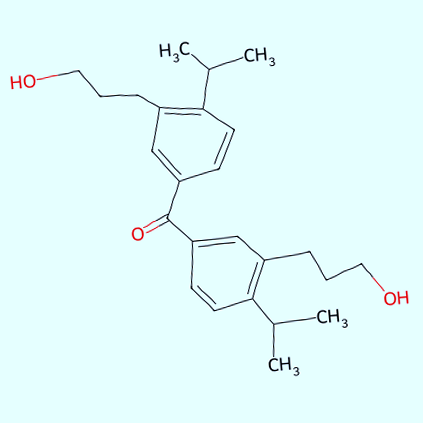 CC(C)c1ccc(C(=O)c2ccc(C(C)C)c(CCCO)c2)cc1CCCO